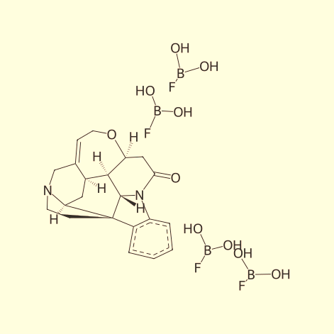 O=C1C[C@@H]2OCC=C3CN4CC[C@]56c7ccccc7N1[C@H]5[C@H]2[C@H]3C[C@H]46.OB(O)F.OB(O)F.OB(O)F.OB(O)F